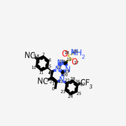 CC1=C(C#N)[C@@H](c2ccc(C#N)cc2)n2nc(S(N)(=O)=O)nc2N1c1cccc(C(F)(F)F)c1